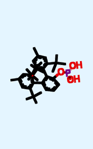 Cc1cc(C(C)(C)C)c(-c2cccc(OP(O)O)c2-c2c(C(C)(C)C)cc(C)cc2C(C)(C)C)c(C(C)(C)C)c1